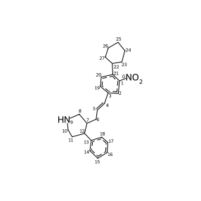 O=[N+]([O-])c1cc(C=CCC2CNCCC2c2ccccc2)ccc1C1CCCCC1